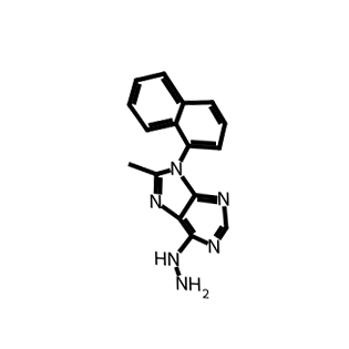 Cc1nc2c(NN)ncnc2n1-c1cccc2ccccc12